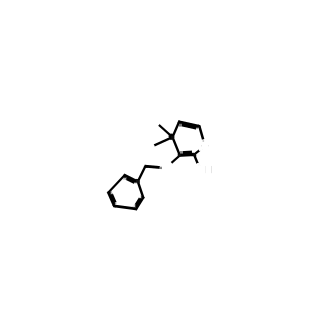 CC1(C)C=COC(C=O)=C1OCc1ccccc1